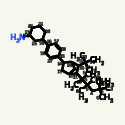 CC(C)(C)CC(C)(C)C(C)(C)C1C2CC(c3ccc(C4CCCC(N)C4)cc3)C(C2)C1C(C)(C)C